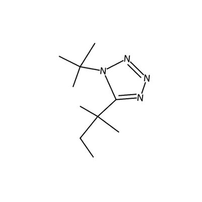 CCC(C)(C)c1nnnn1C(C)(C)C